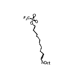 CCCCCCCCC=CCCCCCCCCOS(=O)(=O)C(F)(F)F